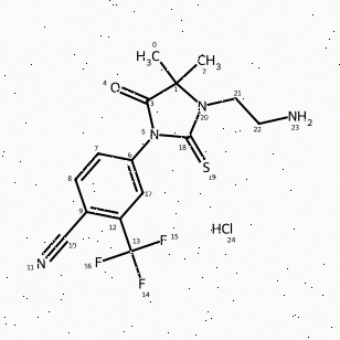 CC1(C)C(=O)N(c2ccc(C#N)c(C(F)(F)F)c2)C(=S)N1CCN.Cl